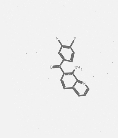 Nc1c(C(=O)c2ccc(F)c(F)c2)ccc2cccnc12